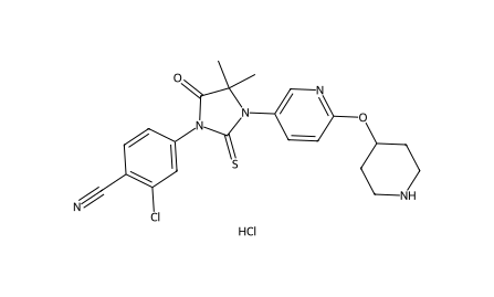 CC1(C)C(=O)N(c2ccc(C#N)c(Cl)c2)C(=S)N1c1ccc(OC2CCNCC2)nc1.Cl